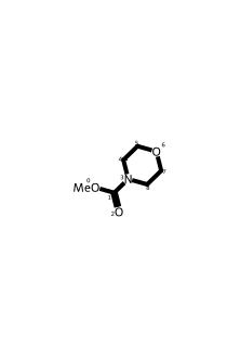 COC(=O)N1[CH]COCC1